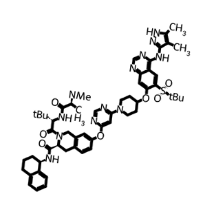 CN[C@@H](C)C(=O)N[C@H](C(=O)N1Cc2cc(Oc3cc(N4CCC(Oc5cc6ncnc(Nc7n[nH]c(C)c7C)c6cc5S(=O)(=O)C(C)(C)C)CC4)ncn3)ccc2C[C@H]1C(=O)N[C@@H]1CCCc2ccccc21)C(C)(C)C